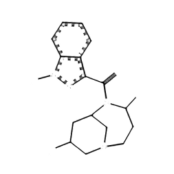 CC1CC2CN(CCC(C)N2C(=O)c2nn(C)c3ccccc23)C1